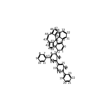 C1=CC(c2cc(-c3ccccc3)nc(-c3cnc(-c4ccccc4)nc3)n2)CC2=C1c1ccccc1C21c2ccccc2C=Cc2ccccc21